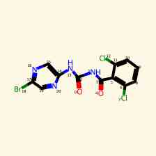 O=C(NC(=O)c1c(Cl)cccc1Cl)Nc1cnc(Br)cn1